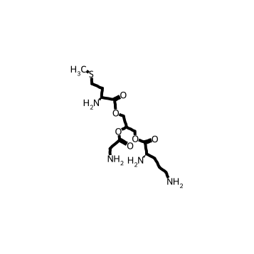 CSCC[C@H](N)C(=O)OCC(COC(=O)[C@@H](N)CCCN)OC(=O)CN